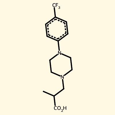 CC(CN1CCN(c2ccc(C(F)(F)F)cc2)CC1)C(=O)O